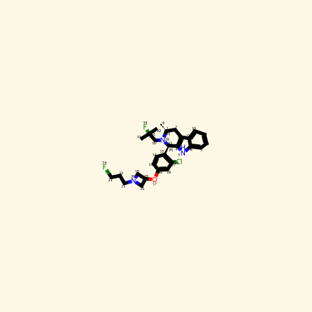 C[C@@H]1Cc2c([nH]c3ccccc23)[C@@H](c2ccc(OC3CN(CCCF)C3)cc2Cl)N1CC(C)(C)F